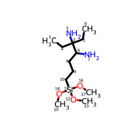 CCC(N)(CC)C(N)CCC[Si](OC)(OC)OC